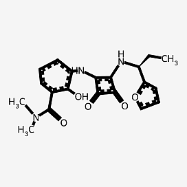 CC[C@H](Nc1c(Nc2cccc(C(=O)N(C)C)c2O)c(=O)c1=O)c1ccco1